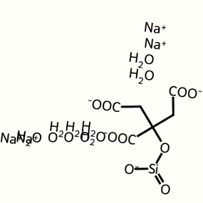 O.O.O.O.O.O.O.O=C([O-])CC(CC(=O)[O-])(O[Si](=O)[O-])C(=O)[O-].[Na+].[Na+].[Na+].[Na+]